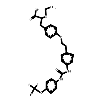 CCOC(Cc1ccc(OCCc2ccc(NC(=O)Nc3ccc(SC(F)(F)F)cc3)cc2)cc1)C(=O)O